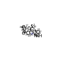 Cc1ccsc1C(=O)Nc1cc(C(=O)N2CC(C)OC(C)C2)ccc1/C=C/c1n[nH]c2ccccc12